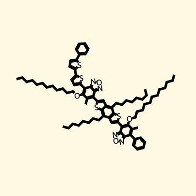 CCCCCCCCCCCCOc1c(C)c(-c2ccccc2)c2nonc2c1-c1cc2c(CCCCCCCC)c3sc(-c4c(C)c(OCCCCCCCCCCCC)c(-c5ccc(-c6ccc(-c7ccccc7)s6)s5)c5nonc45)cc3c(CCCCCCCC)c2s1